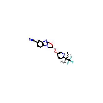 CC(C)(c1ccc(OC[C@@H]2Cn3c(nc4cc(C#N)ccc43)O2)cn1)C(F)(F)F